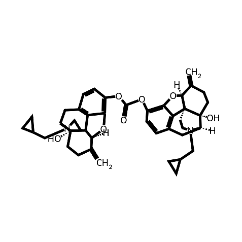 C=C1CC[C@@]2(O)C3Cc4ccc(OC(=O)Oc5ccc6c7c5O[C@H]5C(=C)CC[C@@]8(O)[C@@H](C6)N(CC6CC6)CC[C@]758)c5c4[C@@]2(CCN3CC2CC2)[C@H]1O5